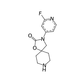 O=C1OC2(CCNCC2)CN1c1ccnc(F)c1